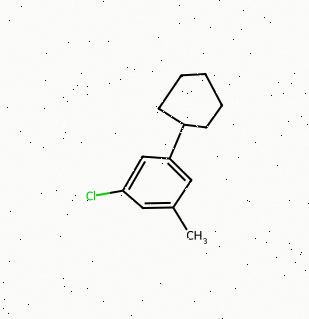 Cc1cc(Cl)cc(C2CCCCC2)c1